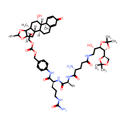 CCCC1O[C@@H]2C[C@H]3[C@@H]4CCC5=CC(=O)C=C[C@]5(C)[C@H]4[C@@H](O)C[C@]3(C)[C@]2(C(=O)COC(=O)OCc2ccc(NC(=O)[C@H](CCCNC(N)=O)NC(=O)[C@@H](NC(=O)[C@H](N)CCC(=O)NC[C@H](O)[C@H]3OC(C)(C)O[C@@H]3[C@H]3COC(C)(C)O3)C(C)C)cc2)O1